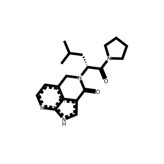 CC(C)C[C@H](C(=O)N1CCCC1)N1Cc2ccnc3[nH]cc(c23)C1=O